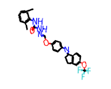 Cc1cccc(C)c1NC(=O)NN=COc1ccc(N=C2CCc3cc(OC(F)(F)F)ccc32)cc1